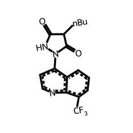 CCCCC1C(=O)NN(c2ccnc3c(C(F)(F)F)cccc23)C1=O